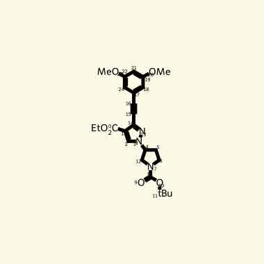 CCOC(=O)c1cn(C2CCN(C(=O)OC(C)(C)C)C2)nc1C#Cc1cc(OC)cc(OC)c1